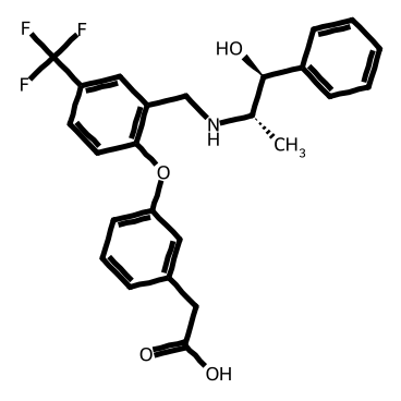 C[C@H](NCc1cc(C(F)(F)F)ccc1Oc1cccc(CC(=O)O)c1)[C@@H](O)c1ccccc1